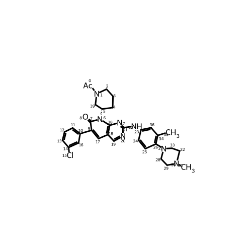 CC(=O)N1CCC[C@H](n2c(=O)c(-c3cccc(Cl)c3)cc3cnc(Nc4ccc(N5CCN(C)CC5)c(C)c4)nc32)C1